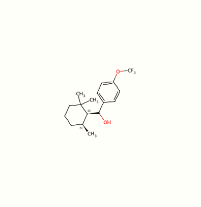 C[C@H]1CCCC(C)(C)[C@H]1C(O)c1ccc(OC(F)(F)F)cc1